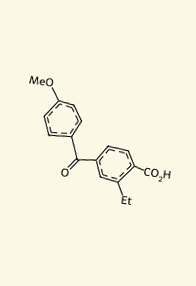 CCc1cc(C(=O)c2ccc(OC)cc2)ccc1C(=O)O